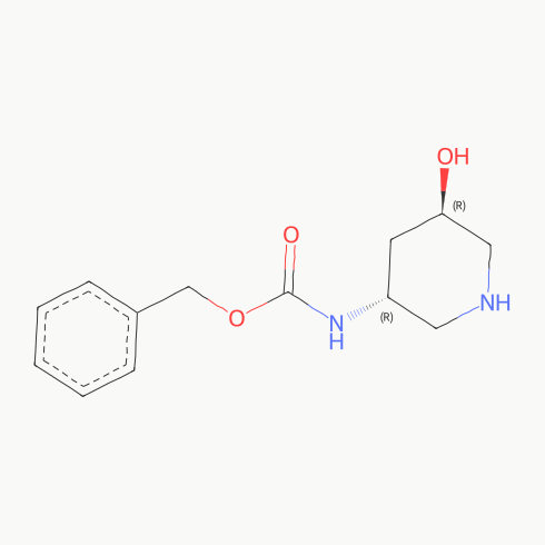 O=C(N[C@H]1CNC[C@H](O)C1)OCc1ccccc1